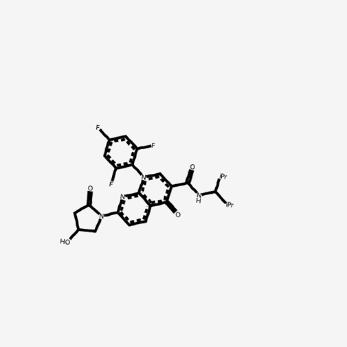 CC(C)C(NC(=O)c1cn(-c2c(F)cc(F)cc2F)c2nc(N3CC(O)CC3=O)ccc2c1=O)C(C)C